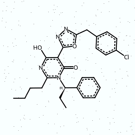 CCCCc1nc(O)c(-c2nnc(Cc3ccc(Cl)cc3)o2)c(=O)n1[C@H](CC)c1ccccc1